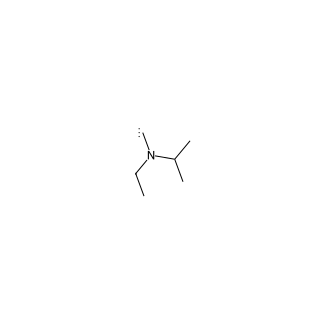 [C]N(CC)C(C)C